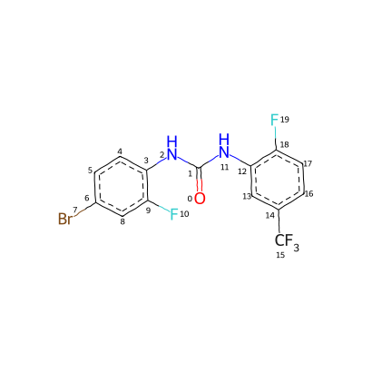 O=C(Nc1ccc(Br)cc1F)Nc1cc(C(F)(F)F)ccc1F